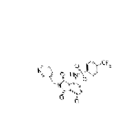 O=C1c2c(Cl)ccc(NS(=O)(=O)c3ccc(C(F)(F)F)cc3)c2C(=O)N1Cc1cccnc1